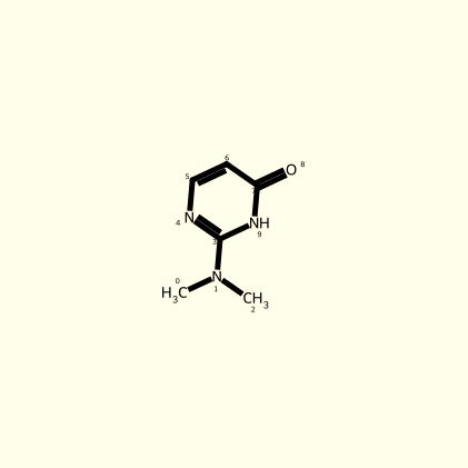 CN(C)c1nccc(=O)[nH]1